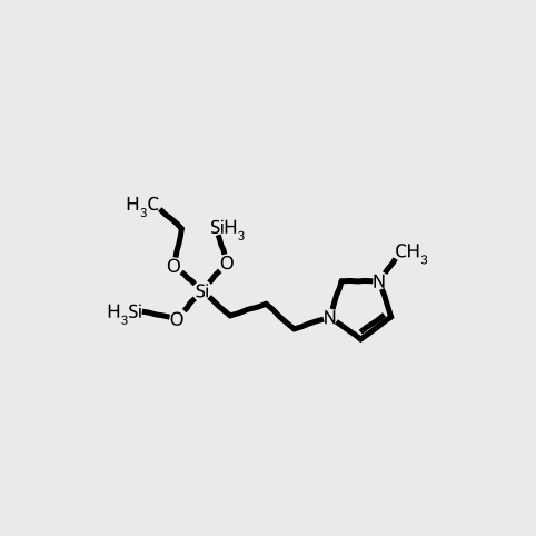 CCO[Si](CCCN1C=CN(C)C1)(O[SiH3])O[SiH3]